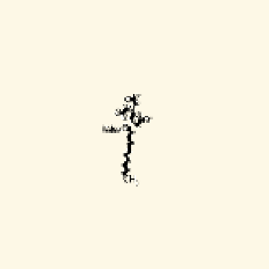 CCCCCCCCCCCC(=O)N(CCN(CC(=O)[O-])CC(=O)[O-])CC(=O)[O-].[Na+].[Na+].[Na+]